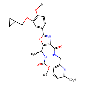 CCOc1ccc(-c2nc(C(=O)NCc3cccc(C(=O)O)n3)c([C@H](C)NC(=O)OC(C)(C)C)o2)cc1OCC1CC1